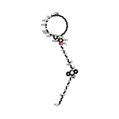 C[C@@H]1[C@H](O)[C@@H](C)/C=C/C=C/C=C/C=C/C=C/C=C/C=C/[C@H](O[C@@H]2O[C@H](C)[C@@H](O)[C@H](N)[C@@H]2O)CC2O[C@](O)(C[C@@H](O)C[C@@H](O)[C@H](O)CC[C@@H](O)C[C@@H](O)CC(=O)O[C@H]1C)C[C@H](O)[C@H]2C(=O)NCCOCCOCCOCCOCCC(=O)NCCC(=O)N1Cc2ccccc2-c2c(nnn2CCOCCOCCOCCOC(=O)CCCCCN)-c2ccccc21